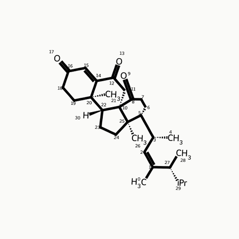 CC(=C[C@@H](C)[C@H]1CCC(=O)[C@]23CC(=O)C4=CC(=O)CC[C@]4(C)[C@H]2CC[C@]13C)[C@H](C)C(C)C